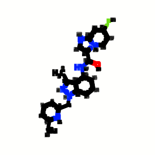 Cc1nn(Cc2cccc(C(C)(C)C)n2)c2cccc(NC(=O)c3cnc4cc(F)ccn34)c12